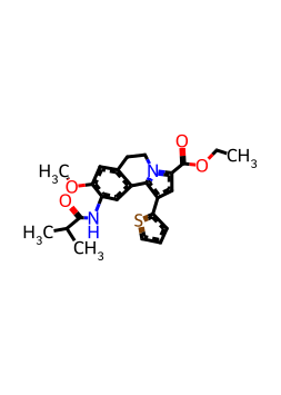 CCOC(=O)c1cc(-c2cccs2)c2n1CCc1cc(OC)c(NC(=O)C(C)C)cc1-2